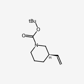 C=C[C@H]1CCCN(C(=O)OC(C)(C)C)C1